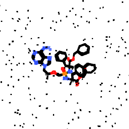 C[C@H](Cn1cnc2c(N)ncnc21)OCP(=O)(NC(C)(Cc1ccccc1)C(=O)OCC1CCCCC1)N[C@@](C)(Cc1ccccc1)C(=O)OCC1CCCCC1